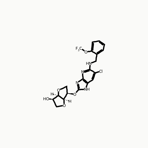 O[C@@H]1CO[C@H]2[C@@H]1OC[C@H]2Oc1nc2nc(NCc3ccccc3OC(F)(F)F)c(Cl)cc2[nH]1